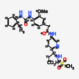 COc1cc(CC(=O)Nc2ccc(C(CC(=O)O)NCS(C)(=O)=O)nc2)ccc1NC(=O)Nc1ccccc1C